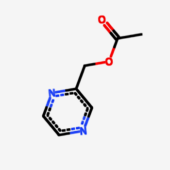 CC(=O)OCc1cnccn1